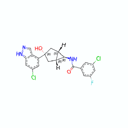 O=C(N[C@H]1[C@@H]2C[C@@](O)(c3cc(Cl)cc4[nH]ncc34)C[C@@H]21)c1cc(F)cc(Cl)c1